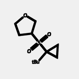 CC(C)(C)C1(S(=O)(=O)C2CCOC2)CC1